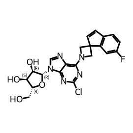 OC[C@H]1O[C@@H](n2cnc3c(N4CC5(C=Cc6ccc(F)cc65)C4)nc(Cl)nc32)[C@H](O)[C@@H]1O